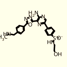 CNCc1ccc(-c2nnc(-c3nc(-c4ccc([S+]([O-])NCCO)cc4)cnc3N)o2)cc1